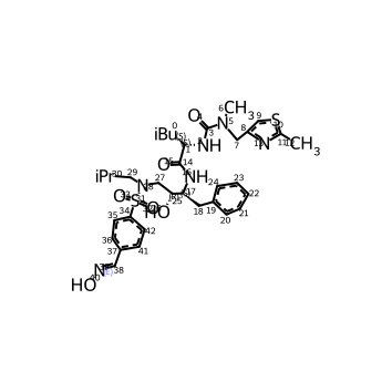 CC[C@H](C)[C@H](NC(=O)N(C)Cc1csc(C)n1)C(=O)N[C@@H](Cc1ccccc1)[C@H](O)CN(CC(C)C)S(=O)(=O)c1ccc(/C=N/O)cc1